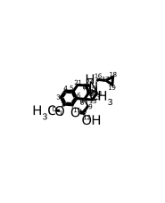 COc1ccc2c(c1)[C@@]1(CC(=O)O)CCN(CC3CC3)[C@@H](C2)[C@H]1C